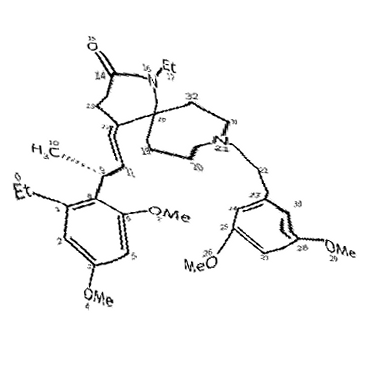 CCc1cc(OC)cc(OC)c1[C@H](C)/C=C1\CC(=O)N(CC)C12CCN(Cc1cc(OC)cc(OC)c1)CC2